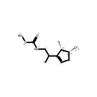 CC(CNC(=O)OC(C)(C)C)C1=CC[C@@H](C(F)(F)F)[C@H]1C